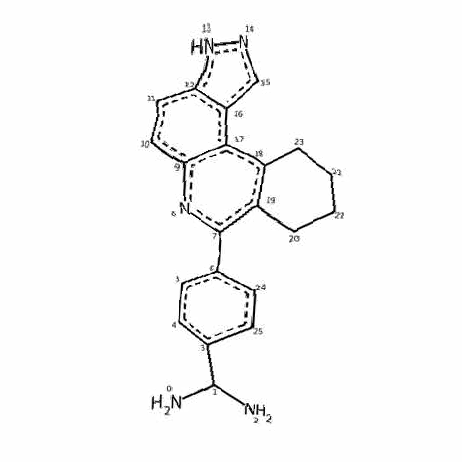 NC(N)c1ccc(-c2nc3ccc4[nH]ncc4c3c3c2CCCC3)cc1